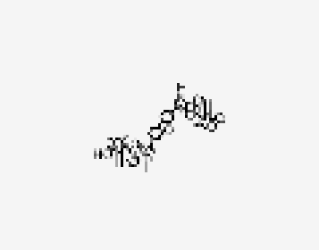 COC(=O)N[C@H](C(=O)N1CCCC1c1nc(-c2ccc3c(c2)oc2cc(-c4c[nH]c([C@@H]5CCCN5C(=O)[C@@H](NC(=O)O)C(C)C)n4)ccc23)c[nH]1)C(C)C